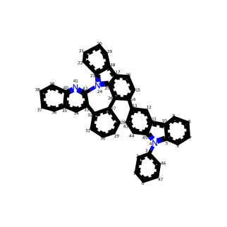 c1ccc(-n2c3ccccc3c3cc(-c4ccc5c6ccccc6n6c5c4-c4ccccc4-c4cc5ccccc5nc4-6)ccc32)cc1